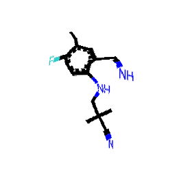 Cc1cc(C=N)c(NCC(C)(C)C#N)cc1F